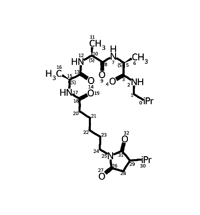 CC(C)CNC(=O)[C@H](C)NC(=O)[C@H](C)NC(=O)[C@H](C)NC(=O)CCCCCN1C(=O)CC(C(C)C)C1=O